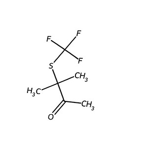 CC(=O)C(C)(C)SC(F)(F)F